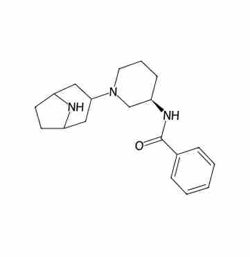 O=C(N[C@@H]1CCCN(C2CC3CCC(C2)N3)C1)c1ccccc1